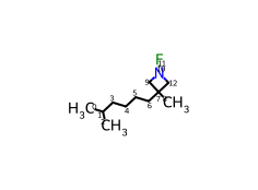 CC(C)CCCCC1(C)CN(F)C1